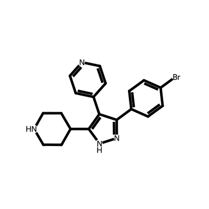 Brc1ccc(-c2n[nH]c(C3CCNCC3)c2-c2ccncc2)cc1